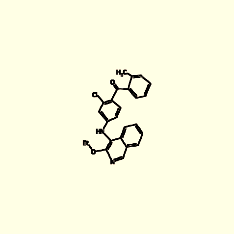 CCOc1ncc2ccccc2c1Nc1ccc(C(=O)c2ccccc2C)c(Cl)c1